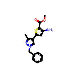 COC(=O)c1sc(-c2cn(Cc3ccccc3)nc2C)cc1N